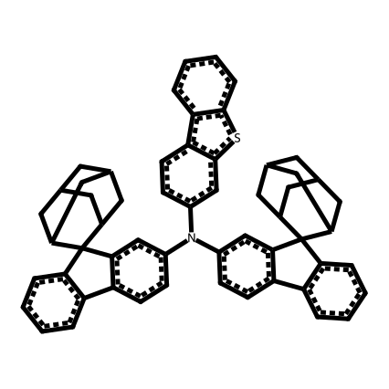 c1ccc2c(c1)-c1ccc(N(c3ccc4c(c3)C3(c5ccccc5-4)C4CC5CC(C4)CC3C5)c3ccc4c(c3)sc3ccccc34)cc1C21C2CC3CC(C2)CC1C3